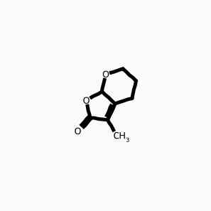 CC1=C2CCCOC2OC1=O